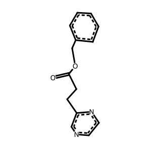 O=C(CCc1cnccn1)OCc1ccccc1